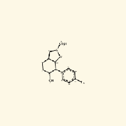 O=C(O)N1CC2CCC(O)C(c3ccc(F)cc3)C2C1